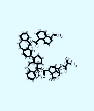 C=Cc1cccc2c(C(=O)OC3(C)c4ccccc4CCc4ccc(-c5cccc6c5CSc5ccccc5C6(C)OC(=O)C5C6CC7C(OC(=O)C75)C6OC(=O)C(=C)C)cc43)cccc12